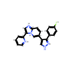 Fc1ccc(-c2n[nH]cc2-c2ccc3ncc(-c4ccccn4)n3c2)cc1